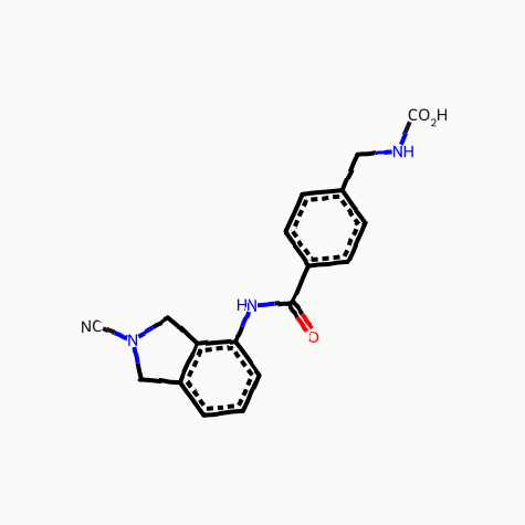 N#CN1Cc2cccc(NC(=O)c3ccc(CNC(=O)O)cc3)c2C1